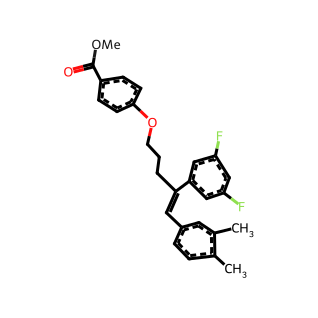 COC(=O)c1ccc(OCCCC(=Cc2ccc(C)c(C)c2)c2cc(F)cc(F)c2)cc1